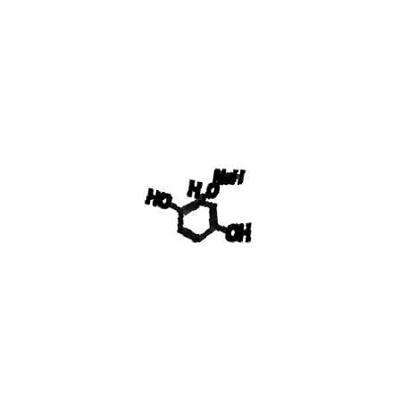 O.Oc1ccc(O)cc1.[NaH]